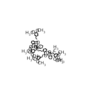 CC[C@H](C(=O)N1CCCC[C@H]1C(=O)O[C@@H](CCc1ccc(OC)c(OC)c1)c1ccccc1CCC[C@H](C(=O)N1CCCC[C@H]1C(=O)O[C@@H](CCc1ccc(OC)c(OC)c1)c1cccc(C)c1)c1cc(OC)c(OC)c(OC)c1)c1cc(OC)c(OC)c(OC)c1